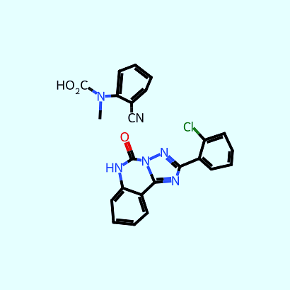 CN(C(=O)O)c1ccccc1C#N.O=c1[nH]c2ccccc2c2nc(-c3ccccc3Cl)nn12